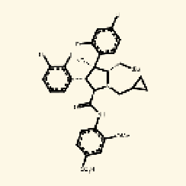 COc1cc(C(=O)O)ccc1NC(=O)[C@H]1[C@H](c2cccc(Cl)c2F)[C@@](C#N)(c2ccc(Cl)cc2F)[C@H](CC(C)(C)C)N1CC1CC1